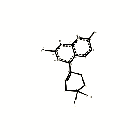 Cc1ccc2c(C3=CCC(F)(F)CC3)nc(Cl)nc2n1